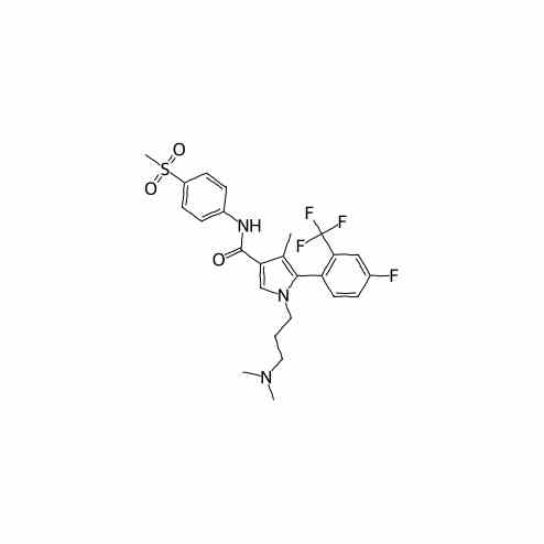 Cc1c(C(=O)Nc2ccc(S(C)(=O)=O)cc2)cn(CCCN(C)C)c1-c1ccc(F)cc1C(F)(F)F